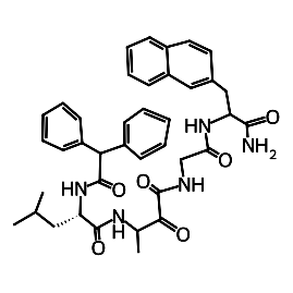 CC(C)C[C@H](NC(=O)C(c1ccccc1)c1ccccc1)C(=O)NC(C)C(=O)C(=O)NCC(=O)NC(Cc1ccc2ccccc2c1)C(N)=O